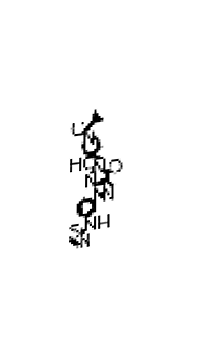 O=C(C1CC1)N1CCC(O)(Cn2cnc3c(cnn3-c3cccc(Nc4nccs4)c3)c2=O)CC1